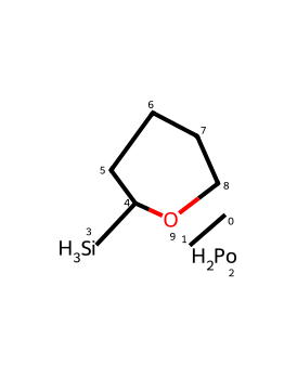 CC.[PoH2].[SiH3]C1CCCCO1